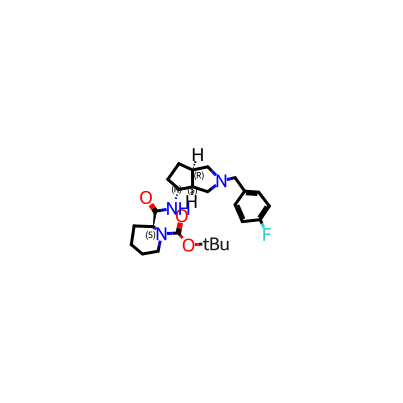 CC(C)(C)OC(=O)N1CCCC[C@H]1C(=O)N[C@@H]1CC[C@H]2CN(Cc3ccc(F)cc3)C[C@H]21